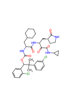 CC(C)(c1cccc(Cl)c1)C(OC(=O)NC(CC1CCCCC1)C(=O)NC(C[C@@H]1CCNC1=O)C(=O)C(=O)NC1CC1)c1ccccc1Cl